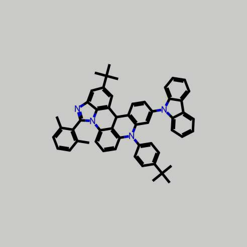 Cc1cccc(C)c1-c1nc2cc(C(C)(C)C)cc3c2n1-c1cccc2c1C3c1ccc(-n3c4ccccc4c4ccccc43)cc1N2c1ccc(C(C)(C)C)cc1